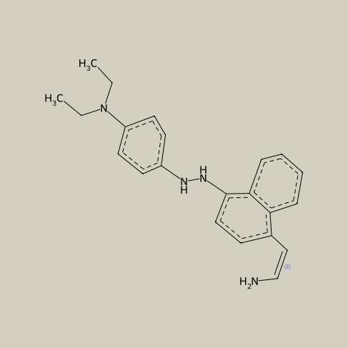 CCN(CC)c1ccc(NNc2ccc(/C=C\N)c3ccccc23)cc1